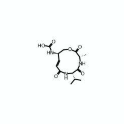 CC(C)[C@@H]1NC(=O)/C=C/[C@@H](NC(=O)O)COC(=O)[C@H](C)NC1=O